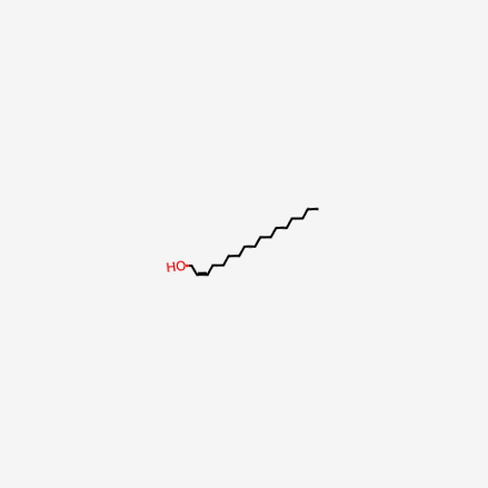 CCCCCCCCCCCCCC/C=C\CO